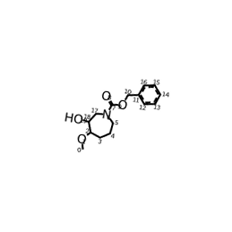 COC1CCCN(C(=O)OCc2ccccc2)CC1O